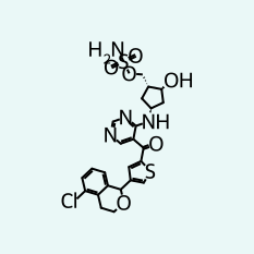 NS(=O)(=O)OC[C@H]1C[C@@H](Nc2ncncc2C(=O)c2cc(C3OCCc4c(Cl)cccc43)cs2)C[C@@H]1O